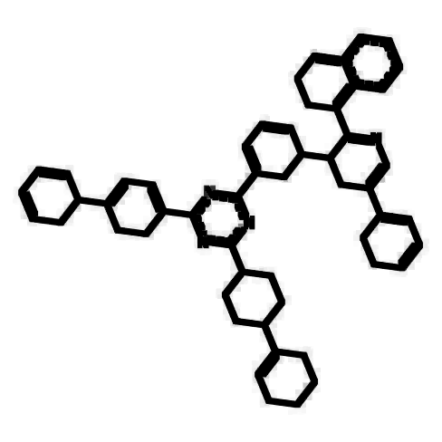 C1=CCCC(C2=CN=C(C3=c4ccccc4=CCC3)C(C3C=CC=C(c4nc(C5=CC=C(C6C=CC=CC6)CC5)nc(C5CCC(C6=CCCCC6)CC5)n4)C3)C2)=C1